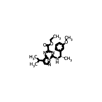 CCOC(=O)c1nc(N[C@@H](C)c2cccc(OC)c2)n2ncc(C(C)C)c2n1